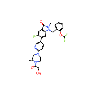 CC1CN(c2ccc(-c3cc4c(cc3F)c(=O)n(C)n4Cc3ccccc3OC(F)F)cn2)CCN1C(=O)CO